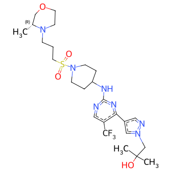 C[C@@H]1COCCN1CCCS(=O)(=O)N1CCC(Nc2ncc(C(F)(F)F)c(-c3cnn(CC(C)(C)O)c3)n2)CC1